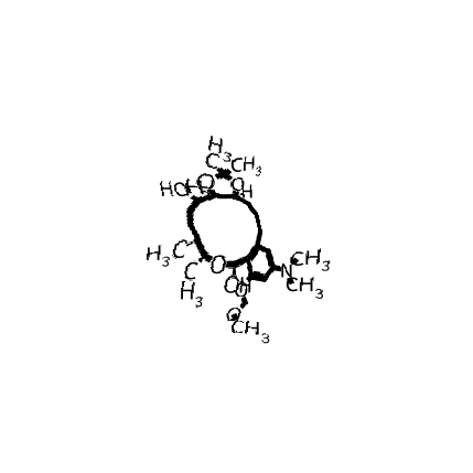 COCOc1cc(N(C)C)cc2c1[C@@H](O)O[C@@H](C)[C@H](C)CCC(O)[C@H]1OC(C)(C)O[C@H]1CCC2